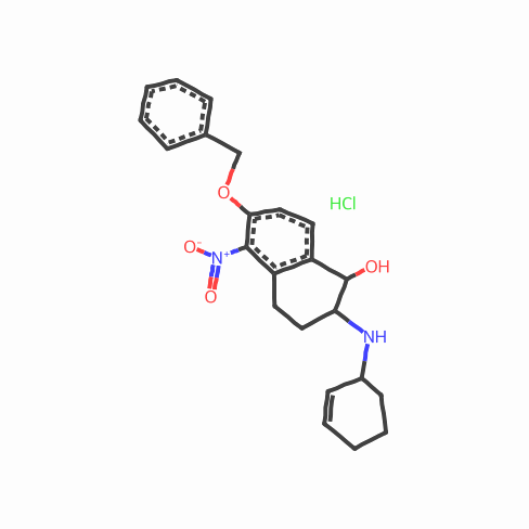 Cl.O=[N+]([O-])c1c(OCc2ccccc2)ccc2c1CCC(NC1C=CCCC1)C2O